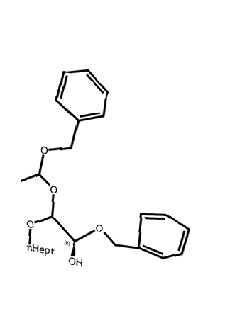 CCCCCCCOC(OC(C)OCc1ccccc1)[C@H](O)OCc1ccccc1